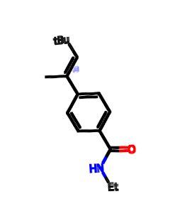 CCNC(=O)c1ccc(/C(C)=C/C(C)(C)C)cc1